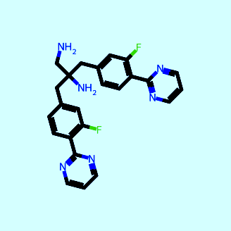 NCC(N)(Cc1ccc(-c2ncccn2)c(F)c1)Cc1ccc(-c2ncccn2)c(F)c1